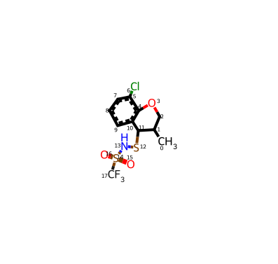 CC1COc2c(Cl)cccc2C1SNS(=O)(=O)C(F)(F)F